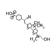 CN(CCO)c1cc2c(s1)-c1sc(/C=C(\C#N)c3ccc(S(=O)(=O)O)cc3)cc1[Si]2(C)C